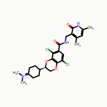 Cc1cc(C)c(CNC(=O)c2cc(Cl)c3c(c2Cl)O[C@H](C2CCC(=[N+](C)C)CC2)CO3)c(=O)[nH]1